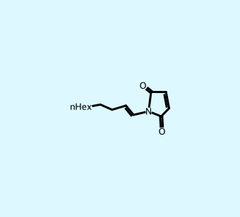 CCCCCCCCC=CN1C(=O)C=CC1=O